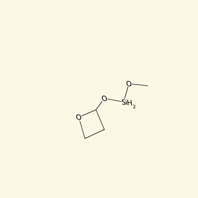 CO[SiH2]OC1CCO1